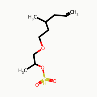 C=CCC(C)CCOCC(C)O[SH](=O)=O